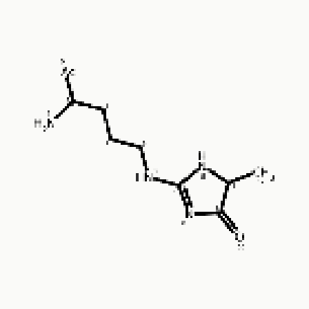 CC(=O)C(N)CCCNC1=NC(=O)C(C)N1